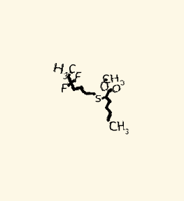 CCCCCC(SCCCCC(F)(F)CC)C(=O)OC